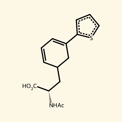 CC(=O)N[C@@H](CC1C=CC=C(c2cccs2)C1)C(=O)O